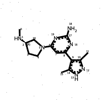 CN[C@@H]1CCN(c2cc(-c3c(C)n[nH]c3C)nc(N)n2)C1